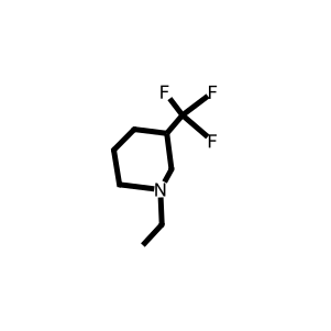 CCN1CCCC(C(F)(F)F)C1